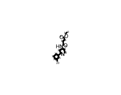 CCOC(=O)/C=C/C(=O)Nc1ccnc(-c2cccc(C)c2)c1